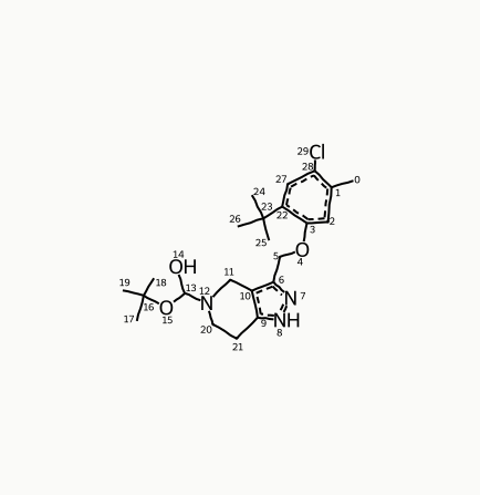 Cc1cc(OCc2n[nH]c3c2CN(C(O)OC(C)(C)C)CC3)c(C(C)(C)C)cc1Cl